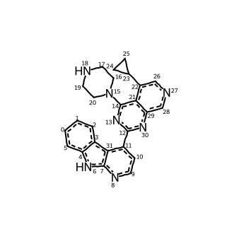 c1ccc2c(c1)[nH]c1nccc(-c3nc(N4CCNCC4)c4c(C5CC5)cncc4n3)c12